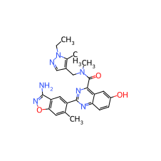 CCn1ncc(CN(C)C(=O)c2nc(-c3cc4c(N)noc4cc3C)nc3ccc(O)cc23)c1C